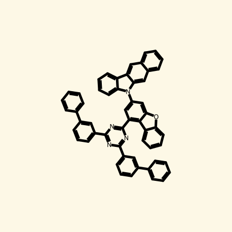 c1ccc(-c2cccc(-c3nc(-c4cccc(-c5ccccc5)c4)nc(-c4cc(-n5c6ccccc6c6cc7ccccc7cc65)cc5oc6ccccc6c45)n3)c2)cc1